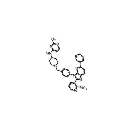 N#Cc1nccc(NC2CCN(Cc3ccc(-n4c(-c5cccnc5N)nc5ccc(-c6ccccc6)nc54)cc3)CC2)n1